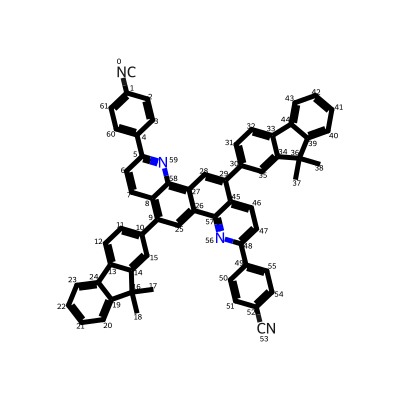 [C-]#[N+]c1ccc(-c2ccc3c(-c4ccc5c(c4)C(C)(C)c4ccccc4-5)cc4c(cc(-c5ccc6c(c5)C(C)(C)c5ccccc5-6)c5ccc(-c6ccc(C#N)cc6)nc54)c3n2)cc1